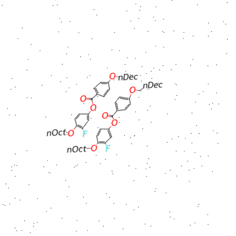 CCCCCCCCCCCOc1ccc(C(=O)Oc2ccc(OCCCCCCCC)c(F)c2)cc1.CCCCCCCCCCOc1ccc(C(=O)Oc2ccc(OCCCCCCCC)c(F)c2)cc1